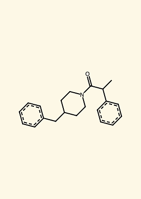 CC(C(=O)N1CCC(Cc2ccccc2)CC1)c1ccccc1